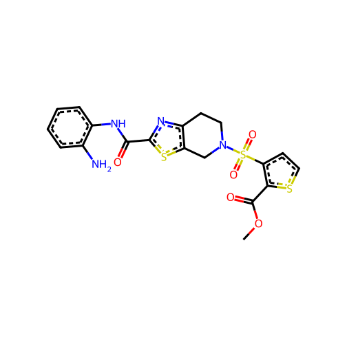 COC(=O)c1sccc1S(=O)(=O)N1CCc2nc(C(=O)Nc3ccccc3N)sc2C1